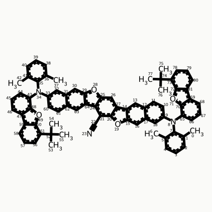 Cc1cccc(C)c1N(c1ccc2cc3c(cc2c1)oc1c(C#N)c2c(cc13)oc1cc3cc(N(c4c(C)cccc4C)c4cccc5c4oc4c(C(C)(C)C)cccc45)ccc3cc12)c1cccc2c1oc1c(C(C)(C)C)cccc12